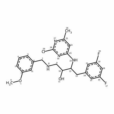 COc1cccc(CNCC(O)C(Cc2cc(F)cc(F)c2)Nc2cc(C)nc(Cl)n2)c1